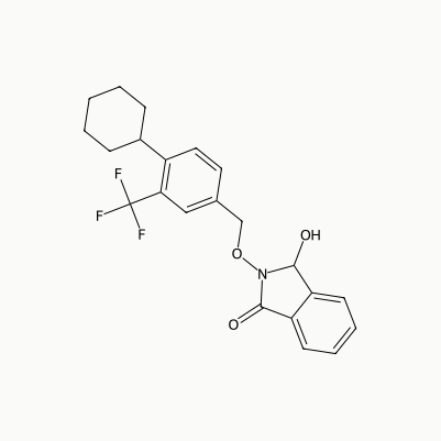 O=C1c2ccccc2C(O)N1OCc1ccc(C2CCCCC2)c(C(F)(F)F)c1